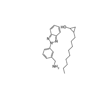 CCCCCCCCCC1CC1O.NCc1cccc(-n2nc3ccccc3n2)c1